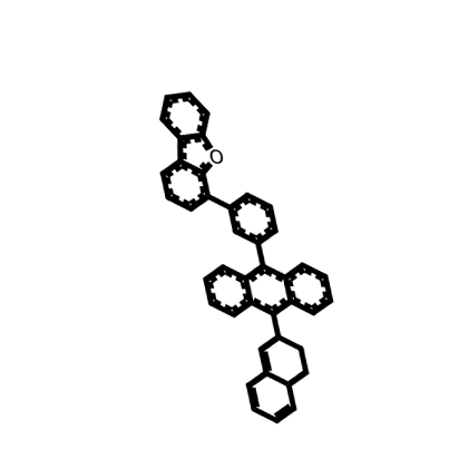 C1=CC2=CC(c3c4ccccc4c(-c4cccc(-c5cccc6c5oc5ccccc56)c4)c4ccccc34)CCC2C=C1